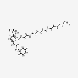 CCCCCCCCCCCCCCCCCCc1n(CC)cc[n+]1CCCc1ccccc1